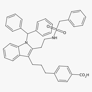 O=C(O)c1ccc(CCCc2c(CCNS(=O)(=O)Cc3ccccc3)n(C(c3ccccc3)c3ccccc3)c3ccccc23)cc1